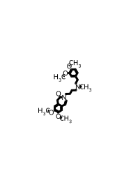 COc1ccc(CCN(C)CCCCN2C=Cc3cc(OC)c(OC)cc3CC2=O)cc1OC